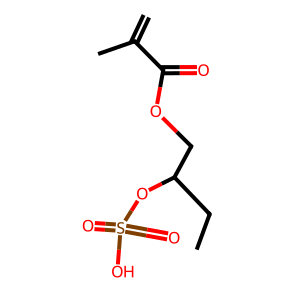 C=C(C)C(=O)OCC(CC)OS(=O)(=O)O